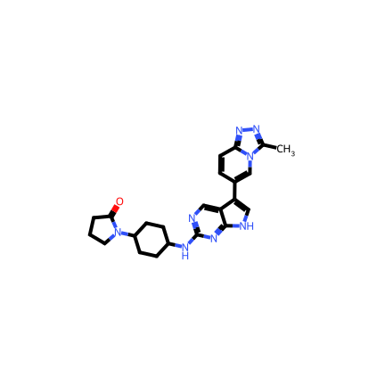 Cc1nnc2ccc(-c3c[nH]c4nc(NC5CCC(N6CCCC6=O)CC5)ncc34)cn12